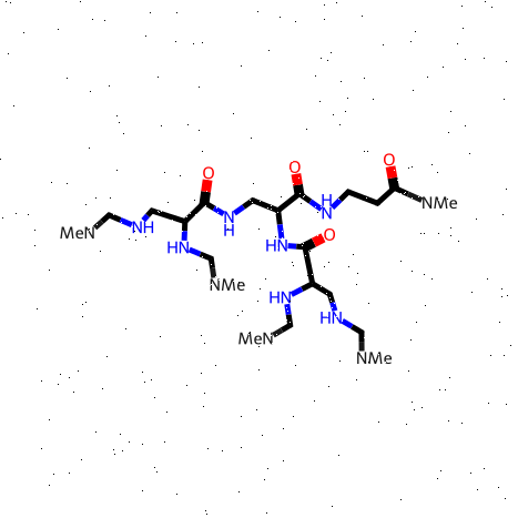 CNCNCC(NCNC)C(=O)NCC(NC(=O)C(CNCNC)NCNC)C(=O)NCCC(=O)NC